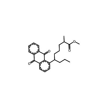 CCCC(CCCC(C)C(=O)OC)c1cccc2c1C(=O)c1ccccc1C2=O